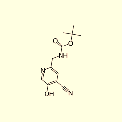 CC(C)(C)OC(=O)NCc1cc(C#N)c(O)cn1